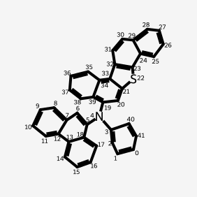 c1ccc(N(c2cc3ccccc3c3ccccc23)c2cc3sc4c5ccccc5ccc4c3c3ccccc23)cc1